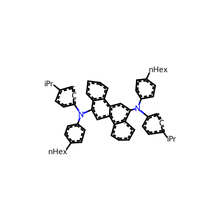 CCCCCCc1ccc(N(c2ccc(C(C)C)cc2)c2cc3c4ccccc4c(N(c4ccc(CCCCCC)cc4)c4ccc(C(C)C)cc4)cc3c3ccccc23)cc1